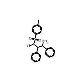 Cc1ccc(S(=O)(=O)N(Cl)C(c2ccccc2)C(N)c2ccccc2)cc1